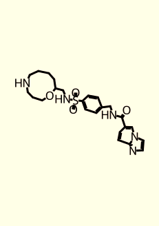 O=C(NCc1ccc(S(=O)(=O)NCC2CCCCNCCCO2)cc1)c1ccc2nccn2c1